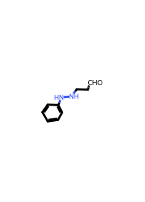 O=CCCNNc1ccccc1